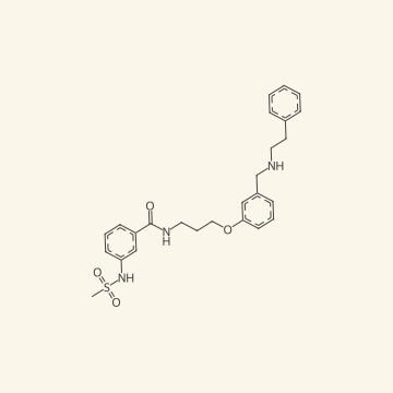 CS(=O)(=O)Nc1cccc(C(=O)NCCCOc2cccc(CNCCc3ccccc3)c2)c1